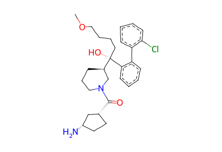 COCCCC[C@@](O)(c1ccccc1-c1ccccc1Cl)[C@@H]1CCCN(C(=O)[C@@H]2CC[C@H](N)C2)C1